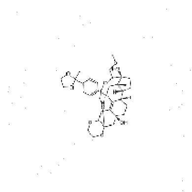 COCC1OCCOC23C[C@@]4(O)CC[C@@H]5C(=C4CC2OCCO3)[C@@H](c2ccc(C3(C)OCCO3)cc2)C[C@@]2(C)[C@@H]5CC[C@@]12O